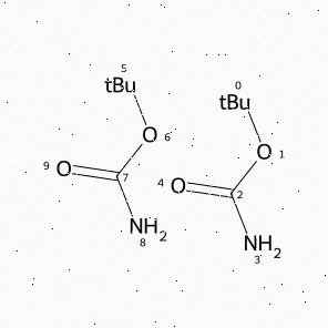 CC(C)(C)OC(N)=O.CC(C)(C)OC(N)=O